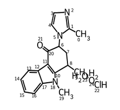 Cc1nccn1C1CC(C)c2c(c3ccccc3n2C)C1=O.Cl.O.O